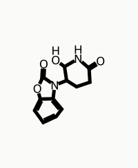 O=C1CCC(n2c(=O)oc3ccccc32)C(O)N1